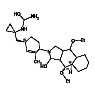 CCOC1C2CN(C3CC[C@H](CC4(NC(N)O)CC4)C=C3C)C(O)C2[C@H](OCC)[C@@H]2CCCCC12